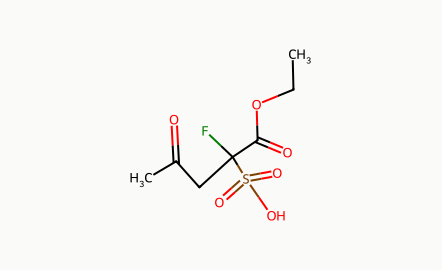 CCOC(=O)C(F)(CC(C)=O)S(=O)(=O)O